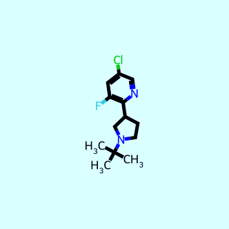 CC(C)(C)N1CCC(c2ncc(Cl)cc2F)C1